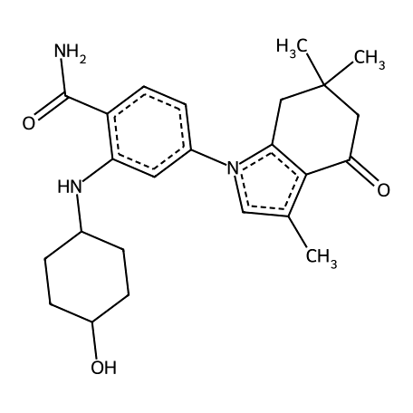 Cc1cn(-c2ccc(C(N)=O)c(NC3CCC(O)CC3)c2)c2c1C(=O)CC(C)(C)C2